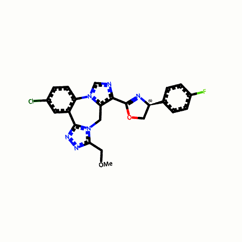 COCc1nnc2n1Cc1c(C3=N[C@@H](c4ccc(F)cc4)CO3)ncn1-c1ccc(Cl)cc1-2